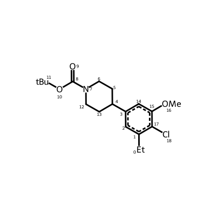 CCc1cc(C2CCN(C(=O)OC(C)(C)C)CC2)cc(OC)c1Cl